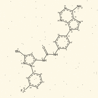 CC(C)(C)c1cc(NC(=O)Nc2ccc(-n3cnc4c(N)ncnc43)cc2)n(-c2cccc(C(F)(F)F)c2)n1